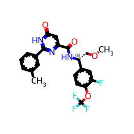 COC[C@@H](NC(=O)c1cc(=O)[nH]c(-c2cccc(C)c2)n1)c1ccc(OC(F)(F)F)c(F)c1